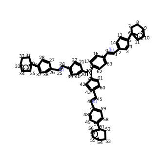 C(=C\c1ccc(C23CCC(CC2)O3)cc1)/c1ccc(N(c2ccc(/C=C/c3ccc(C45CCC(CC4)O5)cc3)cc2)c2ccc(/C=C/c3ccc(C45CCC(CC4)O5)cc3)cc2)cc1